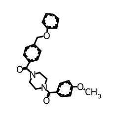 COc1ccc(C(=O)N2CCN(C(=O)c3ccc(COc4ccccc4)cc3)CC2)cc1